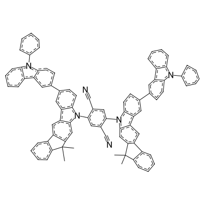 CC1(C)c2ccccc2-c2cc3c4cc(-c5ccc6c(c5)c5ccccc5n6-c5ccccc5)ccc4n(-c4cc(C#N)c(-n5c6ccc(-c7ccc8c(c7)c7ccccc7n8-c7ccccc7)cc6c6cc7c(cc65)C(C)(C)c5ccccc5-7)cc4C#N)c3cc21